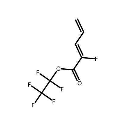 C=CC=C(F)C(=O)OC(F)(F)C(F)(F)F